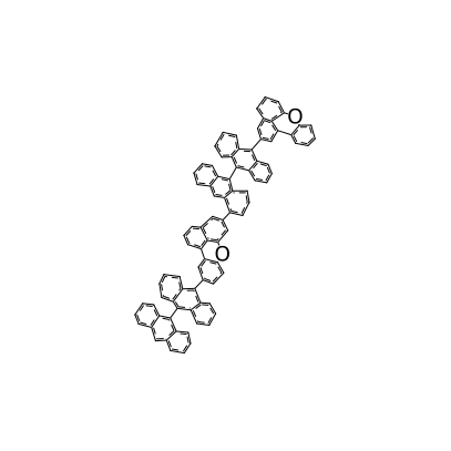 c1ccc2c(c1)Oc1cccc3cc(-c4c5ccccc5c(-c5c6ccccc6cc6c(-c7cc8c9c(cccc9c7)-c7cc(-c9c%10ccccc%10c(-c%10c%11ccccc%11cc%11ccccc%10%11)c%10ccccc9%10)ccc7O8)cccc56)c5ccccc45)cc-2c13